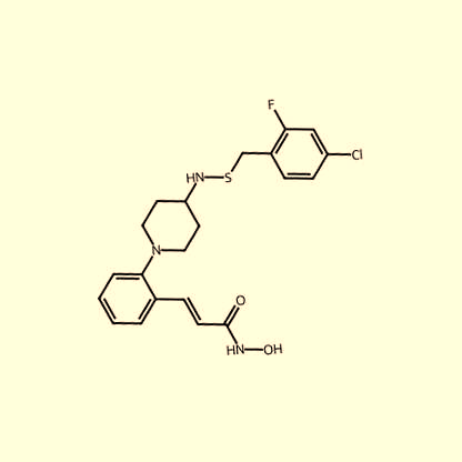 O=C(/C=C/c1ccccc1N1CCC(NSCc2ccc(Cl)cc2F)CC1)NO